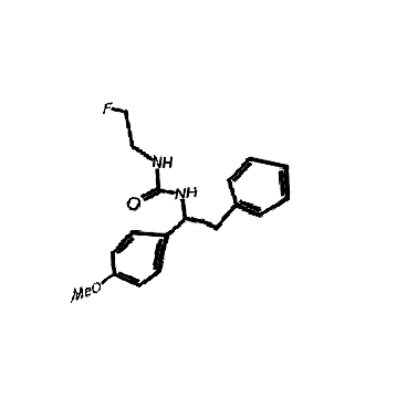 COc1ccc(C(Cc2ccccc2)NC(=O)NCCF)cc1